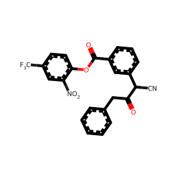 N#CC(C(=O)Cc1ccccc1)c1cccc(C(=O)Oc2ccc(C(F)(F)F)cc2[N+](=O)[O-])c1